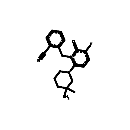 CC1(N)CCCN(c2ccc(F)c(=O)n2Cc2ccccc2C#N)C1